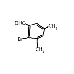 Cc1cc(C)c(Br)c(C=O)c1